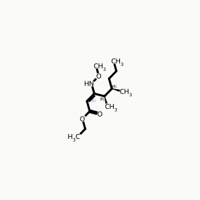 CCC[C@@H](C)[C@@H](C)/C(=C\C(=O)OCC)NOC